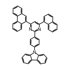 c1ccc2c(-c3cc(-c4cc5ccccc5c5ccccc45)nc(-c4ccc(-n5c6ccccc6c6ccccc65)cc4)n3)cccc2c1